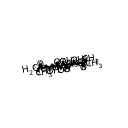 C=C(C)C(=O)OCC(O)COC(=O)C(O)C(O)C(=O)OCC(O)COC(=O)C(=C)C